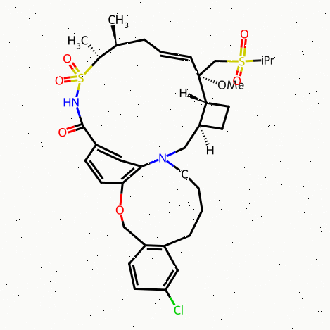 CO[C@@]1(CS(=O)(=O)C(C)C)/C=C/C[C@H](C)[C@@H](C)S(=O)(=O)NC(=O)c2ccc3c(c2)N(CCCCc2cc(Cl)ccc2CO3)C[C@@H]2CC[C@H]21